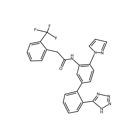 O=C(Cc1ccccc1C(F)(F)F)Nc1cc(-c2ccccc2-c2nnn[nH]2)ccc1-n1cccn1